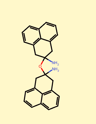 NC1(OC2(N)Cc3cccc4cccc(c34)C2)Cc2cccc3cccc(c23)C1